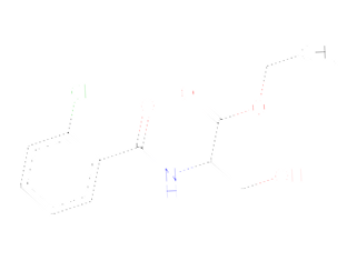 CCOC(=O)C(CO)NC(=O)c1ccccc1Cl